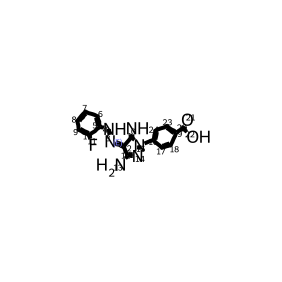 N=C1/C(=N\Nc2ccccc2F)C(N)=NN1c1ccc(C(=O)O)cc1